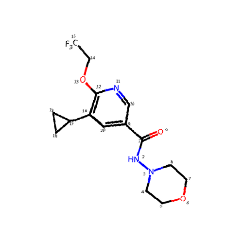 O=C(NN1CCOCC1)c1cnc(OCC(F)(F)F)c(C2CC2)c1